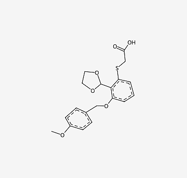 COc1ccc(COc2cccc(SCC(=O)O)c2C2OCCO2)cc1